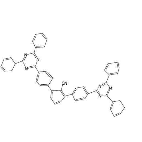 N#Cc1c(-c2ccc(-c3nc(C4=CC=CCC4)nc(-c4ccccc4)n3)cc2)cccc1-c1ccc(-c2nc(-c3ccccc3)nc(C3C=CC=CC3)n2)cc1